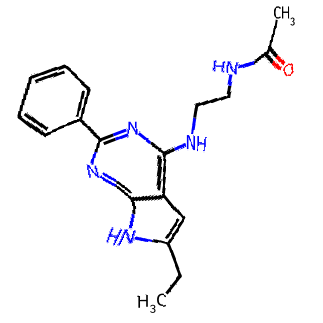 CCc1cc2c(NCCNC(C)=O)nc(-c3ccccc3)nc2[nH]1